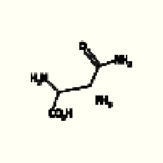 NC(=O)CC(N)C(=O)O.P